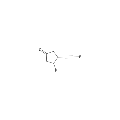 O=C1CC(F)C(C#CF)C1